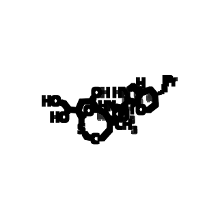 CC(C)C[C@@H]1CCO[C@@H]2[C@H](CN[C@@H]2C(=O)N[C@H]2C3OC(SCCCCC2(C)C)C(C(O)CO)CC3O)C1